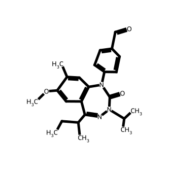 CCC(C)C1=NN(C(C)C)C(=O)N(c2ccc(C=O)cc2)c2cc(C)c(OC)cc21